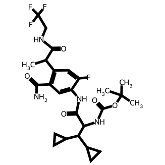 CC(C(=O)NCC(F)(F)F)c1cc(F)c(NC(=O)C(NC(=O)OC(C)(C)C)C(C2CC2)C2CC2)cc1C(N)=O